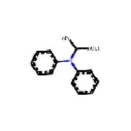 [CH2]CCC(CCCCCCCC)N(c1ccccc1)c1ccccc1